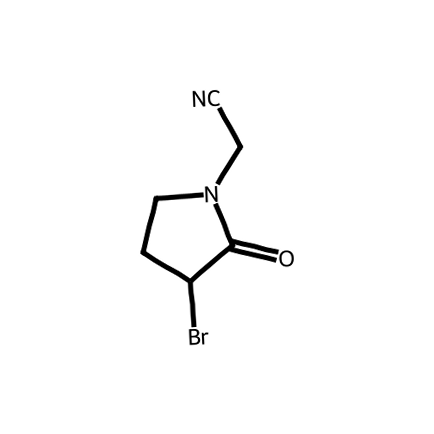 N#CCN1CCC(Br)C1=O